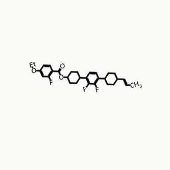 C/C=C/C1CCC(c2ccc(C3CCC(OC(=O)c4ccc(OCC)cc4F)CC3)c(F)c2F)CC1